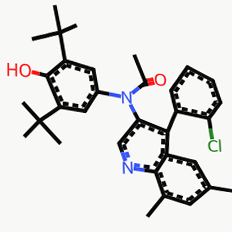 CC(=O)N(c1cc(C(C)(C)C)c(O)c(C(C)(C)C)c1)c1cnc2c(C)cc(C)cc2c1-c1ccccc1Cl